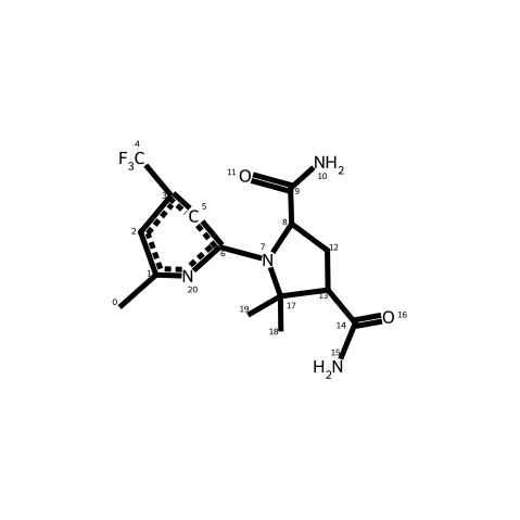 Cc1cc(C(F)(F)F)cc(N2C(C(N)=O)CC(C(N)=O)C2(C)C)n1